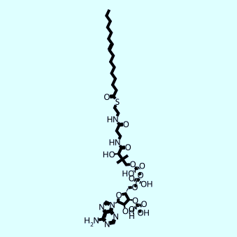 CCCCCCC=CCCCCCCCC(=O)SCCNC(=O)CCNC(=O)[C@H](O)C(C)(C)COP(=O)(O)OP(=O)(O)OC[C@H]1O[C@@H](n2cnc3c(N)ncnc32)[C@H](O)[C@@H]1OP(=O)(O)O